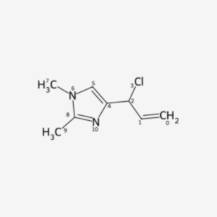 C=CC(Cl)c1cn(C)c(C)n1